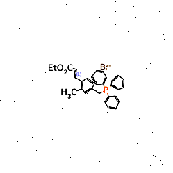 CCOC(=O)/C=C/c1ccc(C[P+](c2ccccc2)(c2ccccc2)c2ccccc2)cc1C.[Br-]